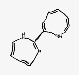 C1=CC=C(C2=NC=CC=CN2)NC=C1